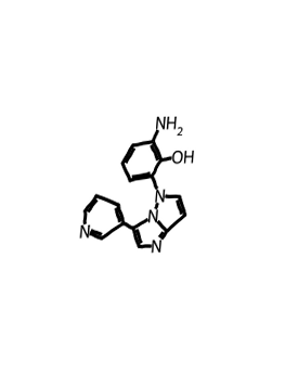 Nc1cccc(-n2ccc3ncc(-c4cccnc4)n32)c1O